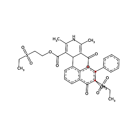 CCS(=O)(=O)CCOC(=O)C1=C(C)NC(C)=C(C(=O)OCCS(=O)(=O)CC)C1c1cccc2c(=O)c(C)c(-c3ccccc3)oc12